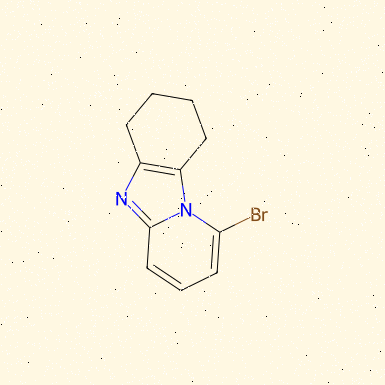 Brc1cccc2nc3c(n12)CCCC3